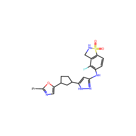 CC(C)c1ncc(C2CCC(c3cc(Nc4ccc5c(c4F)CNS5(=O)=O)n[nH]3)C2)o1